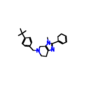 Cn1c(C2=CC=CCC2)nc2c1CN(Cc1ccc(C(C)(C)C)cc1)CC2